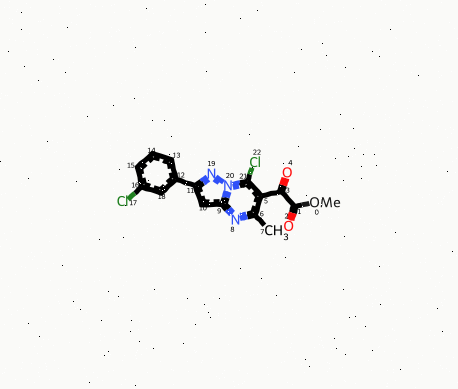 COC(=O)C(=O)c1c(C)nc2cc(-c3cccc(Cl)c3)nn2c1Cl